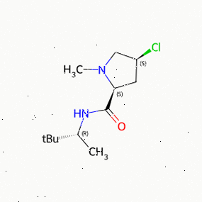 C[C@@H](NC(=O)[C@@H]1C[C@H](Cl)CN1C)C(C)(C)C